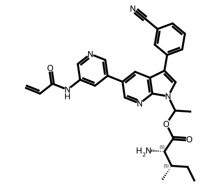 C=CC(=O)Nc1cncc(-c2cnc3c(c2)c(-c2cccc(C#N)c2)cn3C(C)OC(=O)[C@@H](N)[C@@H](C)CC)c1